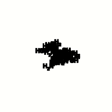 NC[C@@H](F)[C@H](O)C(=O)N[C@@H]1C[C@H](N)[C@@H](O[C@H]2O[C@H](CNCCO)[C@@H](O)[C@H](O)[C@H]2N)[C@H](O[C@@H]2O[C@H](CO)[C@@H](O[C@H]3O[C@@H](CN)[C@@H](O)[C@H](O)[C@H]3N)[C@H]2O)[C@H]1O